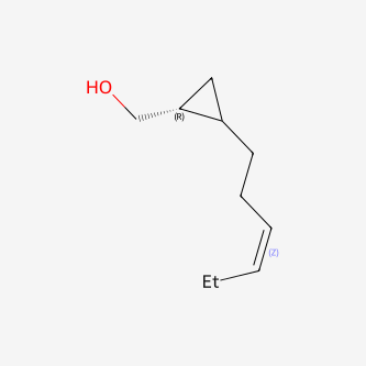 CC/C=C\CCC1C[C@H]1CO